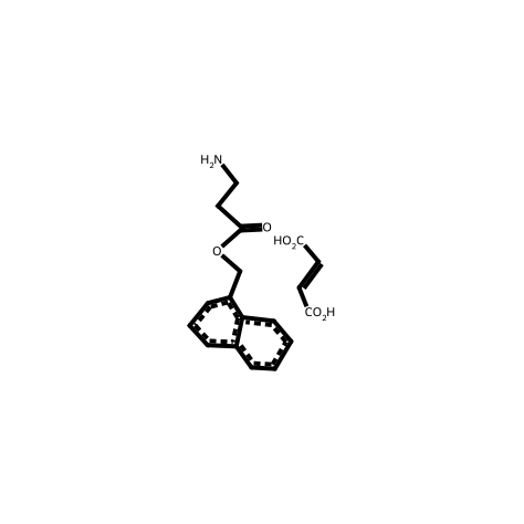 NCCC(=O)OCc1cccc2ccccc12.O=C(O)C=CC(=O)O